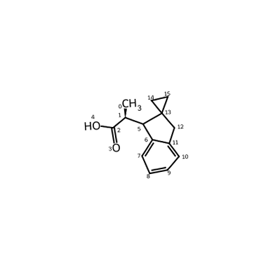 C[C@H](C(=O)O)C1c2ccccc2CC12CC2